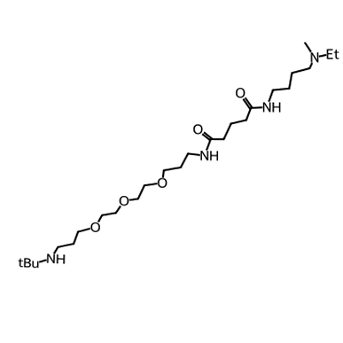 CCN(C)CCCCNC(=O)CCCC(=O)NCCCOCCOCCOCCCNC(C)(C)C